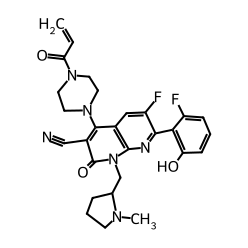 C=CC(=O)N1CCN(c2c(C#N)c(=O)n(CC3CCCN3C)c3nc(-c4c(O)cccc4F)c(F)cc23)CC1